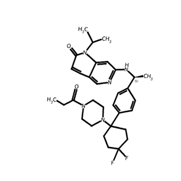 CCC(=O)N1CCN(C2(c3ccc([C@H](C)Nc4cc5c(ccc(=O)n5C(C)C)cn4)cc3)CCC(F)(F)CC2)CC1